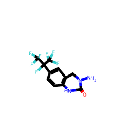 NN1Cc2cc(C(F)(C(F)(F)F)C(F)(F)F)ccc2NC1=O